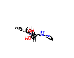 CCCC[C@H](C)C[C@H](O)/C=C/[C@@H]1[C@H]2CC(CCNCCN3CCCCC3)=C[C@H]2C[C@H]1O